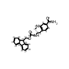 NC[C@H](Cc1ccc(C(N)=O)cc1)NC(=O)OCC1c2ccccc2-c2ccccc21